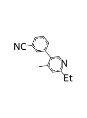 CCc1cc(C)c(-c2cccc(C#N)c2)cn1